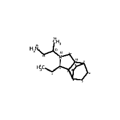 CCC1C2C3CCC(CC3)C2CN1C(C)CN